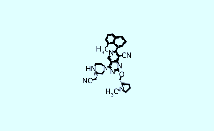 Cc1cccc2cccc(-c3ncc4c(N5CCN[C@@H](CC#N)C5)nc(OC[C@@H]5CCCN5C)nc4c3C#N)c12